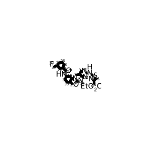 CCOC(=O)Cc1csc(Nc2ncc3c(n2)N(C)C(=O)N(c2cc(NC(=O)c4cccc(CF)c4)ccc2C)C3)n1